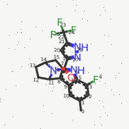 Cc1cc(F)c2[nH]c3c(c2c1)C1CCC(C3)N1C(=O)c1cc(C(F)(F)F)[nH]n1